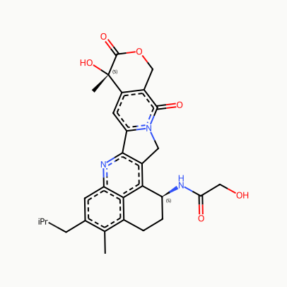 Cc1c(CC(C)C)cc2nc3c(c4c2c1CC[C@@H]4NC(=O)CO)Cn1c-3cc2c(c1=O)COC(=O)[C@@]2(C)O